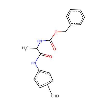 CC(NC(=O)OCc1ccccc1)C(=O)Nc1ccc(C=O)cc1